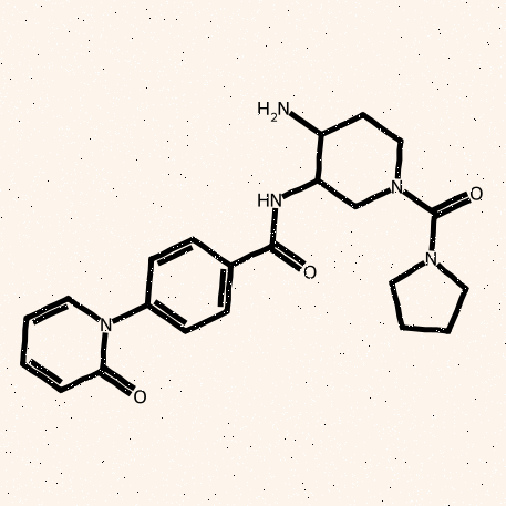 NC1CCN(C(=O)N2CCCC2)CC1NC(=O)c1ccc(-n2ccccc2=O)cc1